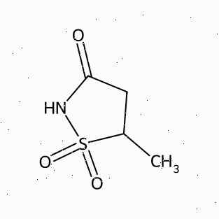 CC1CC(=O)NS1(=O)=O